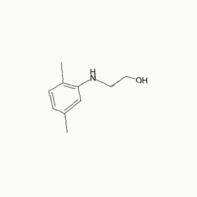 Cc1ccc(C)c(NCCO)c1